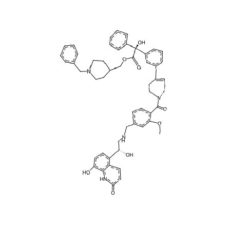 COc1cc(CNC[C@H](O)c2ccc(O)c3[nH]c(=O)ccc23)ccc1C(=O)N1CC=C(c2cccc([C@](O)(C(=O)OCC3CCN(Cc4ccccc4)CC3)c3ccccc3)c2)CC1